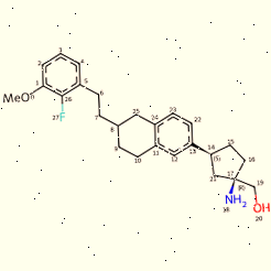 COc1cccc(CCC2CCc3cc([C@H]4CC[C@](N)(CO)C4)ccc3C2)c1F